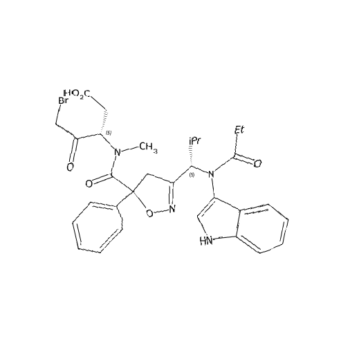 CCC(=O)N(c1c[nH]c2ccccc12)[C@H](C1=NOC(C(=O)N(C)[C@@H](CC(=O)O)C(=O)CBr)(c2ccccc2)C1)C(C)C